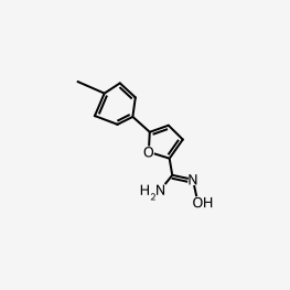 Cc1ccc(-c2ccc(C(N)=NO)o2)cc1